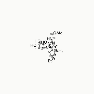 CCOc1ccc(-c2c(Cl)nc(NCCOC)nc2N[C@@H]2C[C@H](CO)[C@@H](O)[C@H]2O)c(C)n1